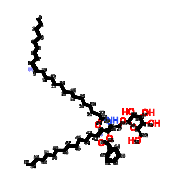 CCCCCCCC/C=C\CCCCCCCCCCCCCC(=O)N[C@@H](CO[C@@H]1O[C@H](CO)[C@H](O)[C@H](O)[C@H]1O)[C@@H](/C=C/CCCCCCCCCCCCC)OC(=O)c1ccccc1